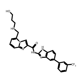 O=C(Nc1nc2cc(-c3cccc(C(F)(F)F)c3)ccc2[nH]1)c1cn2c(CNCCCO)cccc2n1